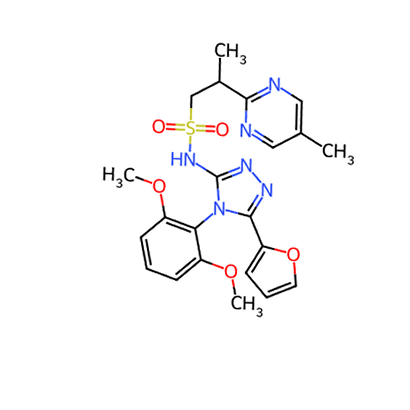 COc1cccc(OC)c1-n1c(NS(=O)(=O)CC(C)c2ncc(C)cn2)nnc1-c1ccco1